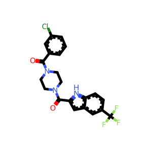 O=C(c1cccc(Cl)c1)N1CCN(C(=O)c2cc3cc(C(F)(F)F)ccc3[nH]2)CC1